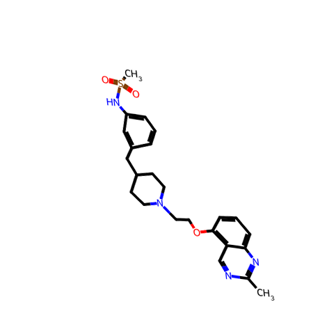 Cc1ncc2c(OCCN3CCC(Cc4cccc(NS(C)(=O)=O)c4)CC3)cccc2n1